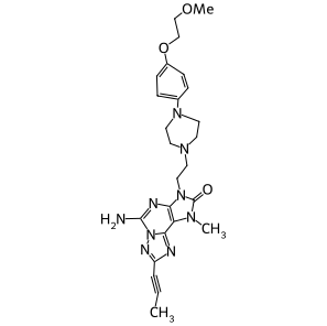 CC#Cc1nc2c3c(nc(N)n2n1)n(CCN1CCN(c2ccc(OCCOC)cc2)CC1)c(=O)n3C